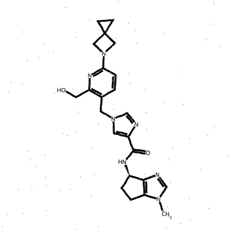 Cn1cnc2c1CC[C@H]2NC(=O)c1cn(Cc2ccc(N3CC4(CC4)C3)nc2CO)cn1